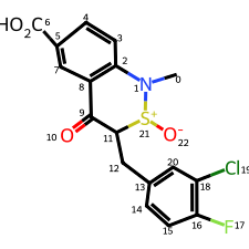 CN1c2ccc(C(=O)O)cc2C(=O)C(Cc2ccc(F)c(Cl)c2)[S+]1[O-]